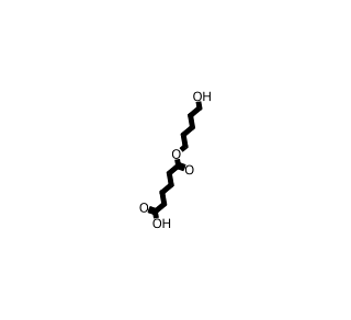 O=C(O)CCCCC(=O)OCCCCCO